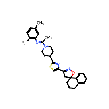 CO/C(=N\c1cc(C)ccc1C)N1CCC(c2nc(C3=NOC4(CCCc5ccccc54)C3)cs2)CC1